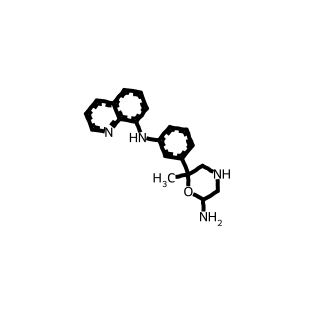 CC1(c2cccc(Nc3cccc4cccnc34)c2)CNCC(N)O1